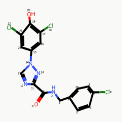 O=C(NCc1ccc(Cl)cc1)c1ncn(-c2cc(Cl)c(O)c(Cl)c2)n1